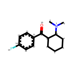 CN(C)C1CCCCC1C(=O)c1ccc(F)cc1